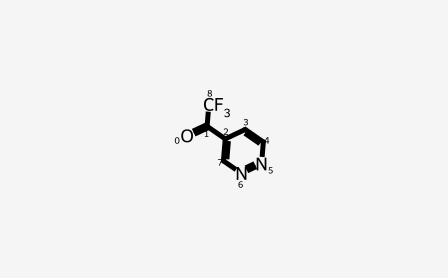 O=C(c1ccnnc1)C(F)(F)F